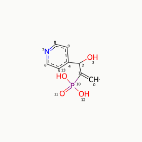 [CH]=C(C(O)c1ccncc1)P(=O)(O)O